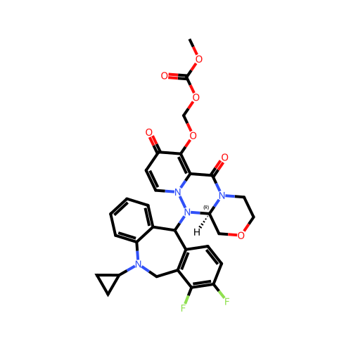 COC(=O)OCOc1c2n(ccc1=O)N(C1c3ccccc3N(C3CC3)Cc3c1ccc(F)c3F)[C@@H]1COCCN1C2=O